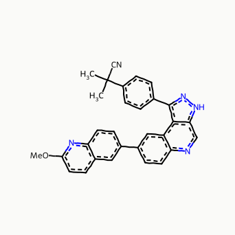 COc1ccc2cc(-c3ccc4ncc5[nH]nc(-c6ccc(C(C)(C)C#N)cc6)c5c4c3)ccc2n1